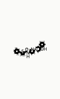 O=C(Nc1ccc(N2CCC(O)(c3ccccc3)CC2)nc1)c1ccc(-c2ccccc2)s1